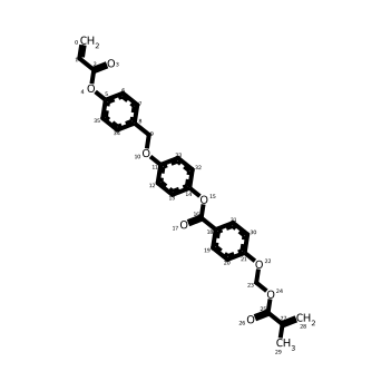 C=CC(=O)Oc1ccc(COc2ccc(OC(=O)c3ccc(OCOC(=O)C(=C)C)cc3)cc2)cc1